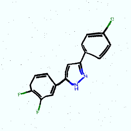 Fc1ccc(-c2cc(-c3ccc(Cl)cc3)n[nH]2)cc1F